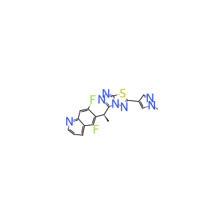 C[C@@H](c1c(F)cc2ncccc2c1F)c1nnc2sc(-c3cnn(C)c3)nn12